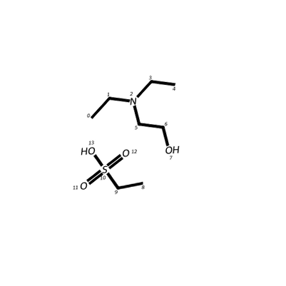 CCN(CC)CCO.CCS(=O)(=O)O